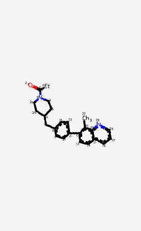 CCC(=O)N1CCC(Cc2ccc(-c3ccc4cccnc4c3C)cc2)CC1